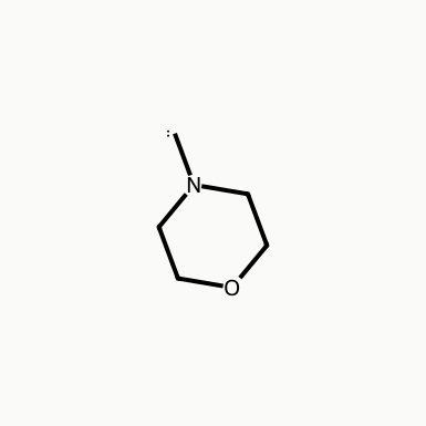 [CH]N1CCOCC1